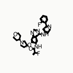 C=C(F)C(=O)Nc1cc2c(Nc3ccnc(-c4ccccc4F)c3)ncnc2cc1O[C@@H]1CCN(C2CCOCC2)C1